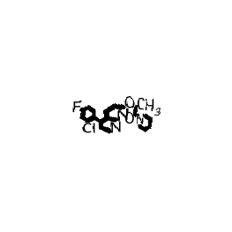 C[C@@H](Oc1ccc2c(-c3ccc(F)cc3Cl)ccnc2n1)C(=O)N1CCCCC1